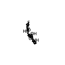 O=C(COCc1ccc(F)cc1)NCCC1CCN(C(=O)N(CCO)CCc2cc3ccccc3[nH]2)CC1